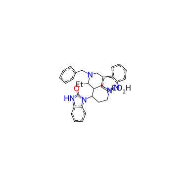 CCC(C1CN(C(=O)O)CCC1n1c(=O)[nH]c2ccccc21)N(Cc1ccccc1)Cc1ccnc2ccccc12